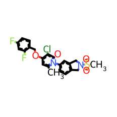 Cc1cc(OCc2ccc(F)cc2F)c(Cl)c(=O)n1-c1ccc2c(c1)CN(S(C)(=O)=O)C2